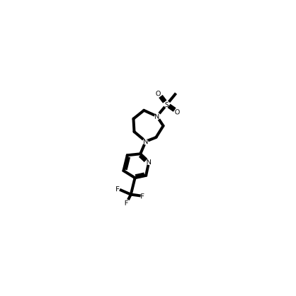 CS(=O)(=O)N1CCCN(c2ccc(C(F)(F)F)cn2)CC1